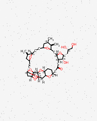 C=C1C2C[C@@H]3O[C@H](C[C@H](O)CO)[C@H](O)[C@H]3CC(=O)C[C@H]3CC[C@@H]4O[C@H]5[C@H]6O[C@]7(CCC8CC(=C)[C@H](CCC(C[C@H]1C)O2)O8)C[C@@H]6O[C@H]5[C@@H](O7)C4O3